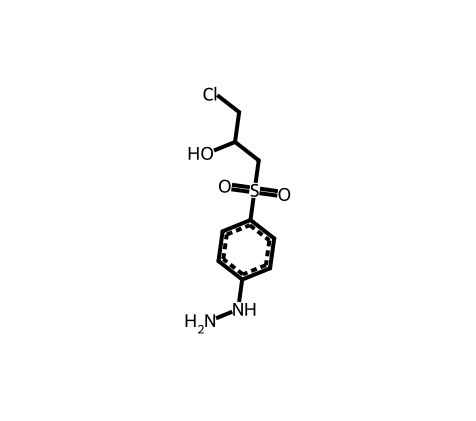 NNc1ccc(S(=O)(=O)CC(O)CCl)cc1